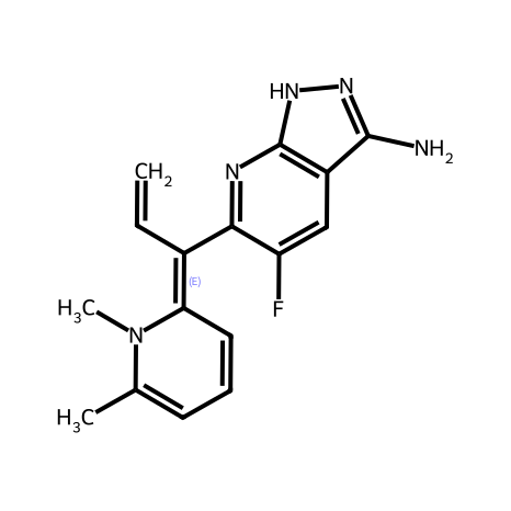 C=C/C(=C1/C=CC=C(C)N1C)c1nc2[nH]nc(N)c2cc1F